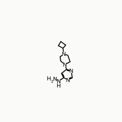 NNc1cc(N2CCN(C3CCC3)CC2)ncn1